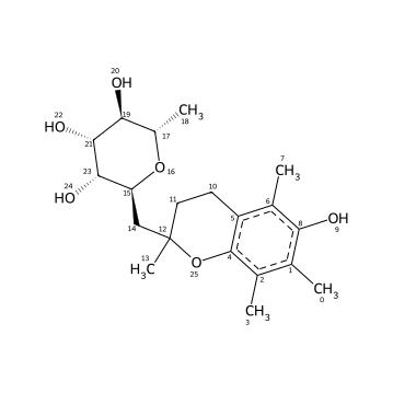 Cc1c(C)c2c(c(C)c1O)CCC(C)(C[C@@H]1O[C@@H](C)[C@H](O)[C@@H](O)[C@H]1O)O2